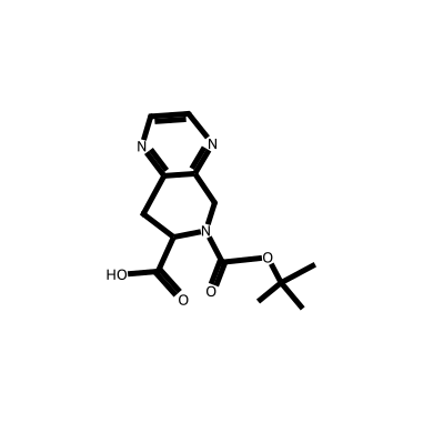 CC(C)(C)OC(=O)N1Cc2nccnc2CC1C(=O)O